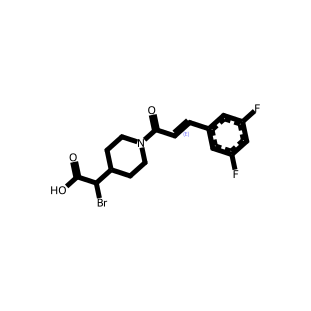 O=C(O)C(Br)C1CCN(C(=O)/C=C/c2cc(F)cc(F)c2)CC1